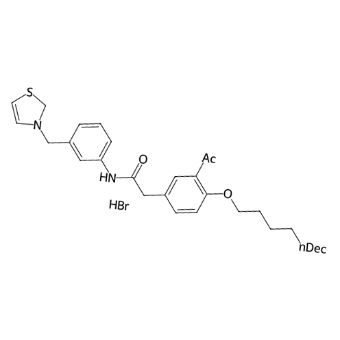 Br.CCCCCCCCCCCCCCOc1ccc(CC(=O)Nc2cccc(CN3C=CSC3)c2)cc1C(C)=O